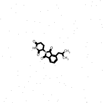 CC(C)Cc1cccc2c1C(=O)N(C1CCC(=O)NC1=O)C2=O